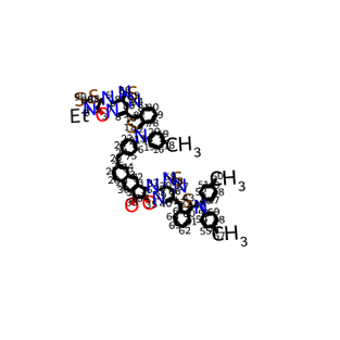 CCN1C(=O)/C(=N\c2ncc(-c3sc(N(c4ccc(C)cc4)c4ccc(Cc5ccc6cc7c(=O)c(=O)/c(=N\c8ncc(-c9sc(N(c%10ccc(C)cc%10)c%10ccc(C)cc%10)c%10ccccc9%10)c9nsnc89)c7cc6c5)cc4)c4ccccc34)c3nsnc23)SC1=S